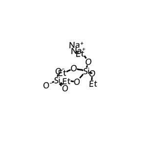 CCO[Si](OCC)(OCC)OCC.O=[Si]([O-])[O-].[Na+].[Na+]